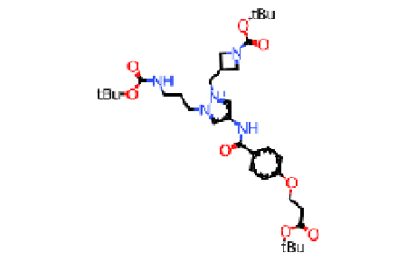 CC(C)(C)OC(=O)CCOc1ccc(C(=O)Nc2cn(CCCNC(=O)OC(C)(C)C)[n+](CC3CN(C(=O)OC(C)(C)C)C3)c2)cc1